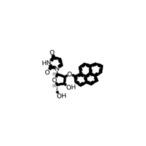 O=c1ccn([C@H]2O[C@@H](CO)C(O)C2Oc2ccc3ccc4cccc5ccc2c3c45)c(=O)[nH]1